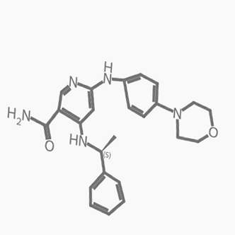 C[C@H](Nc1cc(Nc2ccc(N3CCOCC3)cc2)ncc1C(N)=O)c1ccccc1